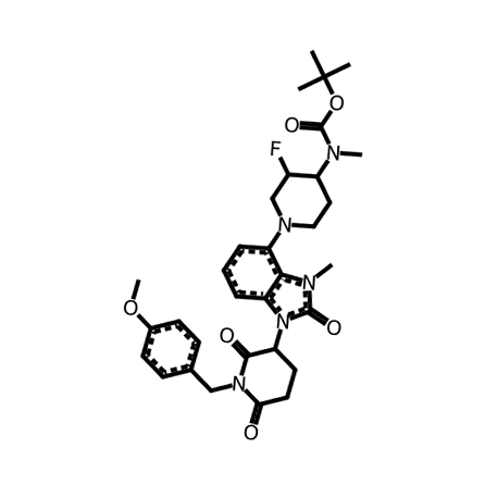 COc1ccc(CN2C(=O)CCC(n3c(=O)n(C)c4c(N5CCC(N(C)C(=O)OC(C)(C)C)C(F)C5)cccc43)C2=O)cc1